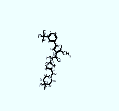 Cc1oc(-c2cccc(C(F)(F)F)c2)cc1C(=O)Nc1nc(CN2CCC(F)(F)CC2)cs1